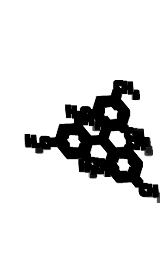 Cc1cc(C)c(C(c2c(C)cc(C)cc2C)c2c(C)cc(C)cc2C)c(C)c1